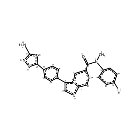 CN(C(=O)c1cn2c(-c3ccc(-c4nnc(N)o4)cc3)cnc2cn1)c1ccc(Cl)cc1